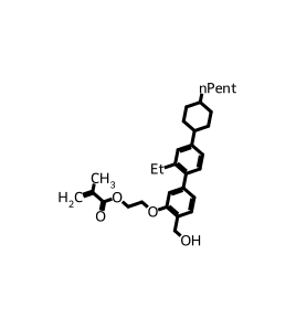 C=C(C)C(=O)OCCOc1cc(-c2ccc(C3CCC(CCCCC)CC3)cc2CC)ccc1CO